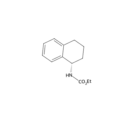 CCOC(=O)N[C@H]1CCCc2ccccc21